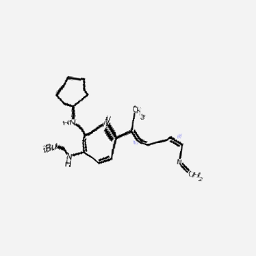 C=N/C=C\C=C(/C)c1ccc(NC(C)CC)c(NC2CCCC2)n1